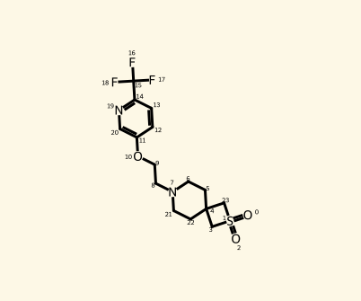 O=S1(=O)CC2(CCN(CCOc3ccc(C(F)(F)F)nc3)CC2)C1